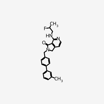 Cc1cccc(-c2ccc(CN3Cc4ccnc(NCC(C)F)c4C3=O)cc2)c1